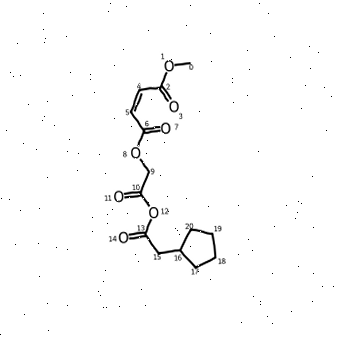 COC(=O)/C=C\C(=O)OCC(=O)OC(=O)CC1CCCC1